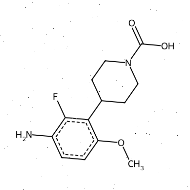 COc1ccc(N)c(F)c1C1CCN(C(=O)O)CC1